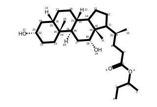 CCC(C)OC(=O)CC[C@H](C)C1CCC2[C@H]3CC[C@H]4C[C@@H](O)CC[C@@]4(C)[C@@H]3C[C@@H](O)[C@]21C